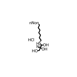 CCCCCCCCCCCCCCCCSC(O)C(N)(O)CO.Cl